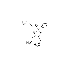 CCCO[Si](OCCC)(OCCC)C1=CCC1